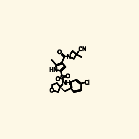 Cc1[nH]c(S(=O)(=O)N[C@]2(Cc3ccc(Cl)cc3)CCOC2)cc1C(=O)N1CC(C)(C#N)C1